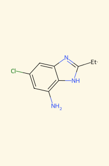 C[CH]c1nc2cc(Cl)cc(N)c2[nH]1